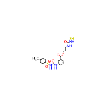 Cc1ccc(S(=O)(=O)NC(=O)Nc2cccc(C(=O)OCCCNC(=O)NS)c2)cc1